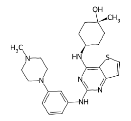 CN1CCN(c2cccc(Nc3nc(N[C@H]4CC[C@](C)(O)CC4)c4sccc4n3)c2)CC1